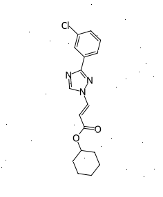 O=C(C=Cn1cnc(-c2cccc(Cl)c2)n1)OC1CCCCC1